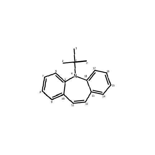 CC(C)(C)N1c2ccccc2C=Cc2ccccc21